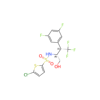 O=S(=O)(N[C@@H](CO)[C@H](c1cc(F)cc(F)c1)C(F)(F)F)c1ccc(Cl)s1